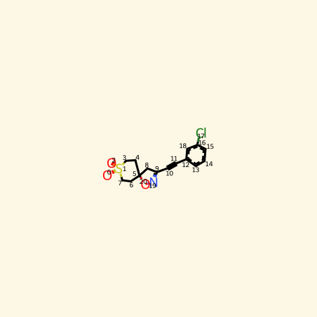 O=S1(=O)CCC2(CC1)CC(C#Cc1cccc(Cl)c1)=NO2